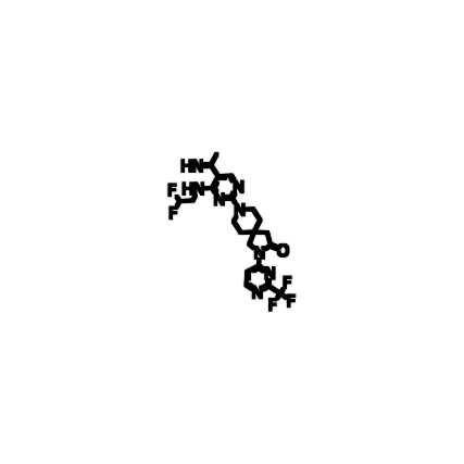 CC(=N)c1cnc(N2CCC3(CC2)CC(=O)N(c2ccnc(C(F)(F)F)n2)C3)nc1NCC(F)F